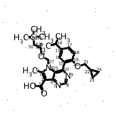 Cc1c(C(=O)O)c2ncnc(-c3cc(C(C)C)ccc3OCC3CC3)c2n1COCC[Si](C)(C)C